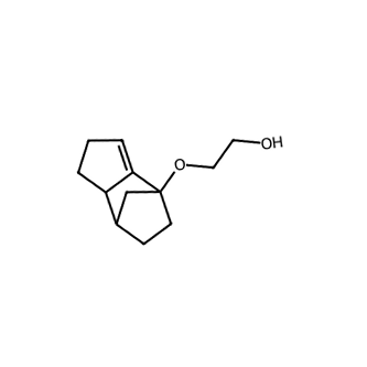 OCCOC12CCC(C1)C1CCC=C12